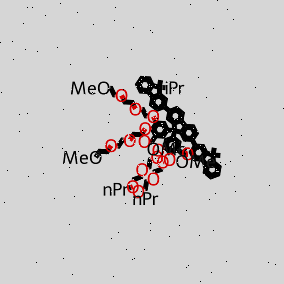 CCCOCCOCCOOc1cc(C2(c3cc(OCCOCCOCCOC)c(OCCOCCOCCOC)c(C(=O)OC)c3)c3cc(-c4ccc5c(c4)C(C)(C)c4ccccc4-5)ccc3-c3ccc(-c4ccc5c(c4)C(C)(C(C)C)c4ccccc4-5)cc32)cc(C(=O)OC)c1OOCCOCCOCCC